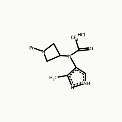 Cc1n[nH]cc1N(C(=O)C(F)(F)F)C1CN(C(C)C)C1.Cl